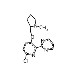 CN1CCC[C@@H]1COc1ccc(Cl)nc1-c1ncccn1